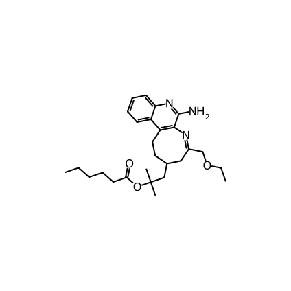 CCCCCC(=O)OC(C)(C)CC1CCc2c(c(N)nc3ccccc23)/N=C(/COCC)C1